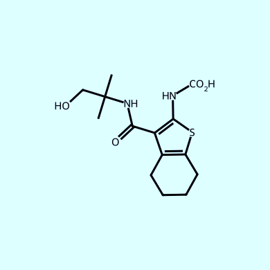 CC(C)(CO)NC(=O)c1c(NC(=O)O)sc2c1CCCC2